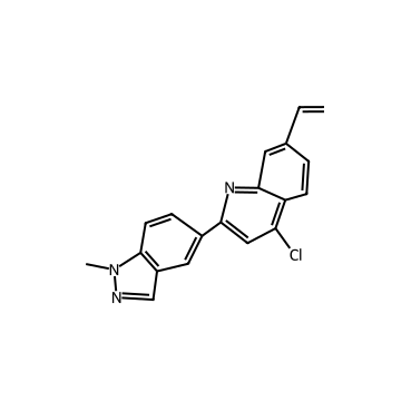 C=Cc1ccc2c(Cl)cc(-c3ccc4c(cnn4C)c3)nc2c1